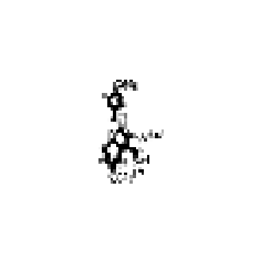 CNc1c(NCc2ccc(OC)cc2)nc2ccc(C(=O)O)cc2c1C=N